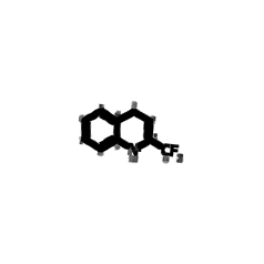 FC(F)(F)C1=CCc2ccccc2[N]1